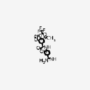 COc1cc(C(Nc2ccc(C(=N)N)cc2)C(=O)O)cc(OC)c1OC(=O)C(F)(F)F